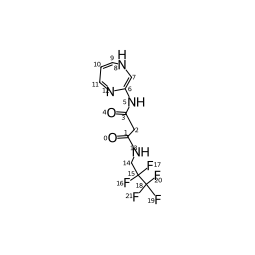 O=C(CC(=O)NC1=CNC=CC=N1)NCC(F)(F)C(F)(F)F